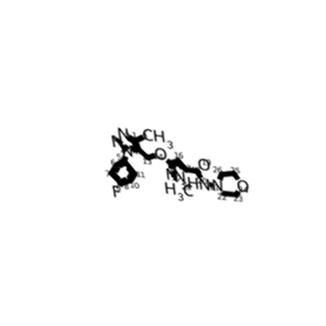 Cc1nnn(-c2ccc(F)cc2)c1COc1cc(C(=O)NN2CCOCC2)n(C)n1